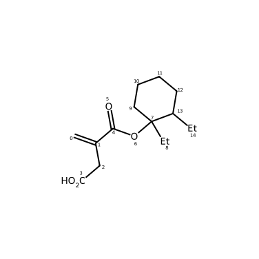 C=C(CC(=O)O)C(=O)OC1(CC)CCCCC1CC